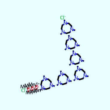 CN1CCN(C)CCN(C)CC1.CN1CCN(C)CCN(C)CC1.CN1CCN(C)CCN(C)CC1.CN1CCN(C)CCN(C)CC1.CN1CCN(C)CCN(C)CC1.CN1CCN(C)CCN(C)CC1.[Cl-].[Cl-].[Mn+4][O][Mn+4].[Mn+4][O][Mn+4].[Mn+4][O][Mn+4]